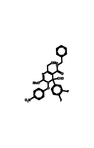 COCC1=C(C(=O)OCc2ccccc2)C(C=O)(c2ccc(F)c(F)c2)N(Oc2ccc([N+](=O)[O-])cc2)C(OC)=N1